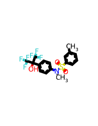 Cc1cccc(S(=O)(=O)N(C)c2ccc(C(O)(C(F)(F)F)C(F)(F)F)cc2)c1